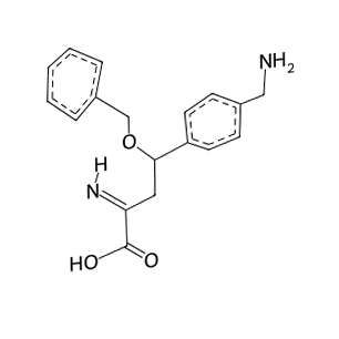 [H]/N=C(\CC(OCc1ccccc1)c1ccc(CN)cc1)C(=O)O